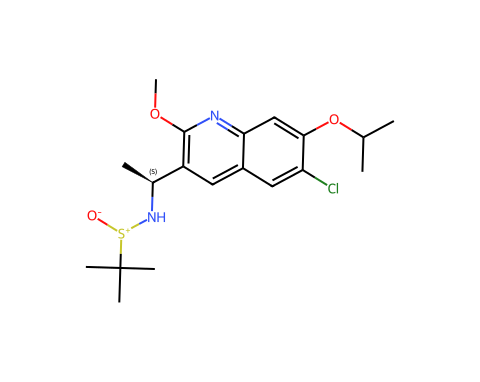 COc1nc2cc(OC(C)C)c(Cl)cc2cc1[C@H](C)N[S+]([O-])C(C)(C)C